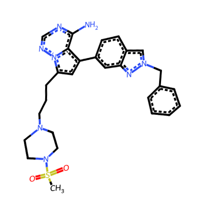 CS(=O)(=O)N1CCN(CCCc2cc(-c3ccc4cn(Cc5ccccc5)nc4c3)c3c(N)ncnn23)CC1